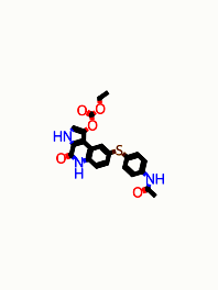 CCOC(=O)Oc1c[nH]c2c(=O)[nH]c3ccc(Sc4ccc(NC(C)=O)cc4)cc3c12